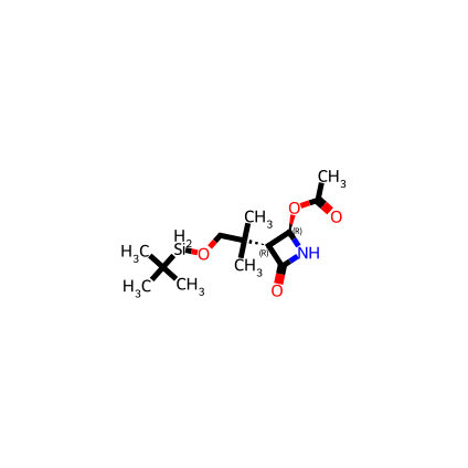 CC(=O)O[C@H]1NC(=O)[C@@H]1C(C)(C)CO[SiH2]C(C)(C)C